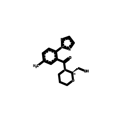 Cc1ccc(-n2nccn2)c(C(=O)N2CCCO[C@H]2CO)c1